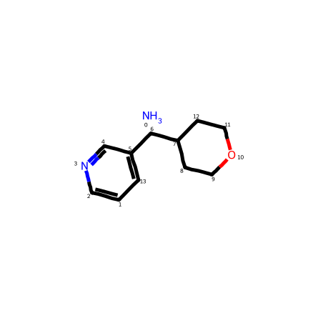 N.c1cncc(CC2CCOCC2)c1